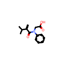 C=C(C(=O)N(CC(=O)O)c1ccccc1)C(C)C